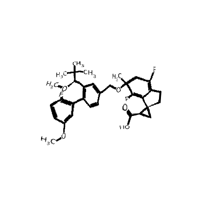 COc1ccc(F)c(-c2ccc(COC3(C)CC(F)=C4CC[C@]5(C[C@H]5C(=O)O)C4=C3F)cc2[C@@H](OC)C(C)(C)C)c1